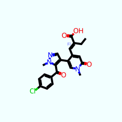 CC/C(=C\c1cc(=O)n(C)cc1-c1cnn(C)c1C(=O)c1ccc(Cl)cc1)C(=O)O